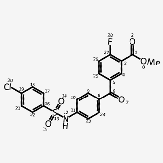 COC(=O)c1cc(C(=O)c2ccc(NS(=O)(=O)c3ccc(Cl)cc3)cc2)ccc1F